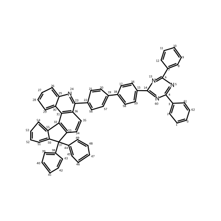 c1ccc(-c2nc(-c3ccccc3)nc(-c3ccc(-c4ccc(-c5nc6ccccc6c6c7c(ccc56)C(c5ccccc5)(c5ccccc5)c5ccccc5-7)cc4)cc3)n2)cc1